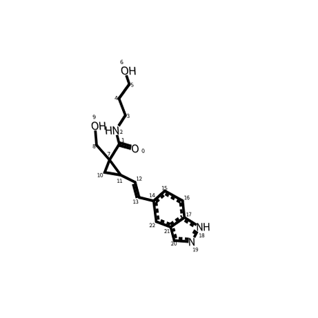 O=C(NCCCO)C1(CO)CC1C=Cc1ccc2[nH]ncc2c1